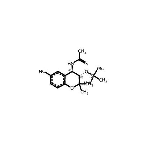 CC(=S)N[C@@H]1c2cc(C#N)ccc2OC(C)(C)[C@H]1O[Si](C)(C)C(C)(C)C